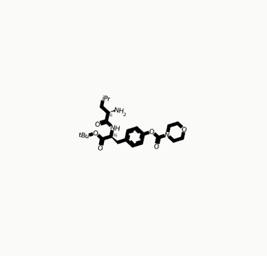 CC(C)C[C@H](N)C(=O)N[C@@H](Cc1ccc(OC(=O)N2CCOCC2)cc1)C(=O)OC(C)(C)C